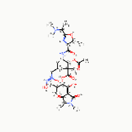 CC(=O)O[C@@H]([C@H](CCC[N+]([O-])=NO)NC(=O)[C@H]1N=C([C@H](C)N(C)C)O[C@@H]1C)C(C)(C)C(=O)O[C@H](C(O)=C1C(=O)[C@H](C)N(C)C1=O)C(C)C